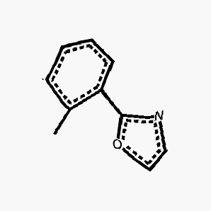 Cc1[c]cccc1-c1ncco1